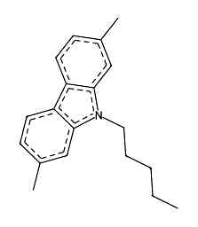 CCCCCn1c2cc(C)ccc2c2ccc(C)cc21